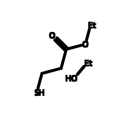 CCO.CCOC(=O)CCS